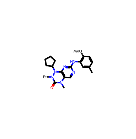 CCN1C(=O)N(C)c2cnc(Nc3cc(C)ccc3OC)nc2N1C1CCCC1